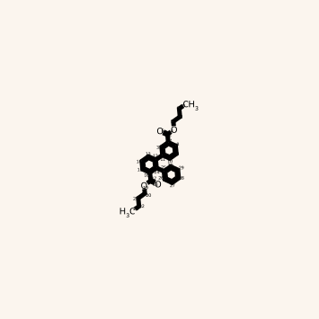 CCCCOC(=O)c1cccc(-c2cccc(C(=O)OCCCC)c2-c2ccccc2)c1